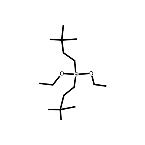 CCO[Si](CCC(C)(C)C)(CCC(C)(C)C)OCC